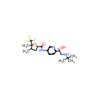 CC1CC(C(=O)Nc2ccc([C@@H](O)CNC(C)(C)C)nc2)OC1(C)C(F)(F)F